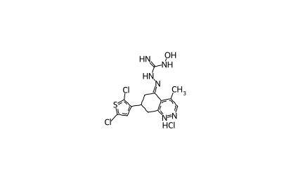 Cc1cnnc2c1C(=NNC(=N)NO)CC(c1cc(Cl)sc1Cl)C2.Cl